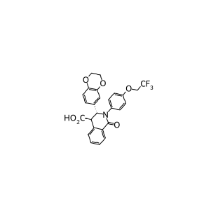 O=C(O)[C@@H]1c2ccccc2C(=O)N(c2ccc(OCC(F)(F)F)cc2)[C@H]1c1ccc2c(c1)OCCO2